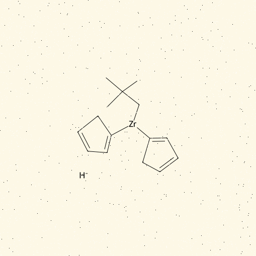 CC(C)(C)[CH2][Zr]([C]1=CC=CC1)[C]1=CC=CC1.[H-]